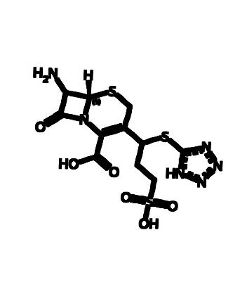 NC1C(=O)N2C(C(=O)O)=C(C(CCS(=O)(=O)O)Sc3nnn[nH]3)CS[C@@H]12